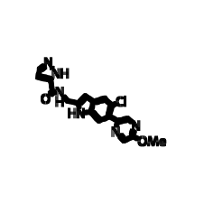 COc1cnc(-c2cc3[nH]c(CNC(=O)c4ccn[nH]4)cc3cc2Cl)cn1